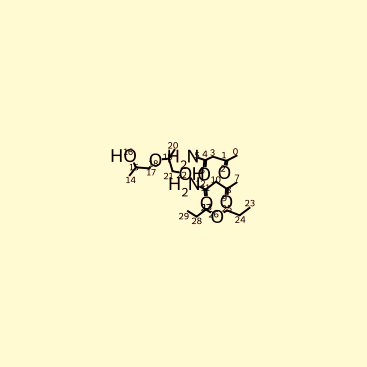 CC(=O)CC(N)=O.CC(=O)CC(N)=O.CC(O)COC(C)CO.CCCOCCC